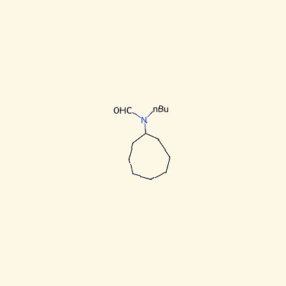 CCCCN(C=O)C1CCCCCCC1